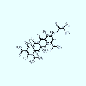 CC(=O)C1=C(O)C(C(C)C)[C@H]2C[C@@]3(C)Cc4c(C(C)C)cc(NCC(=O)C(C)C)c(O)c4C(=O)C3=C(O)[C@@]2(O)C1=O